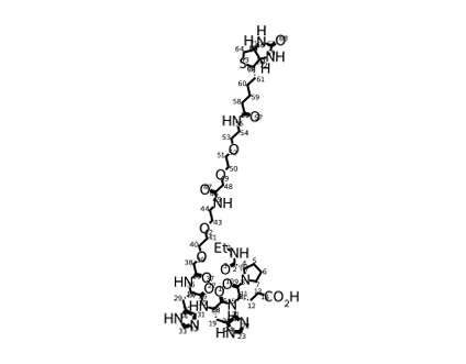 CCNC(=O)[C@@H]1CCCN1C(=O)[C@H](CCC(=O)O)NC(=O)[C@H](Cc1cnc[nH]1)NC(=O)[C@H](Cc1cnc[nH]1)NC(=O)COCCOCCNC(=O)COCCOCCNC(=O)CCCC[C@@H]1SC[C@@H]2NC(=O)N[C@@H]21